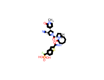 Cn1ccc([C@@H]2CN(C(=O)[C@@H]3CC[C@@H]4CCCC[C@H](NC(=O)c5cc6cc(C(F)P(=O)(O)O)ccc6s5)C(=O)N43)C[C@H]2C#N)cc1=O